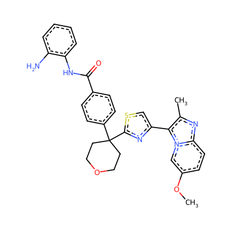 COc1ccc2nc(C)c(-c3csc(C4(c5ccc(C(=O)Nc6ccccc6N)cc5)CCOCC4)n3)n2c1